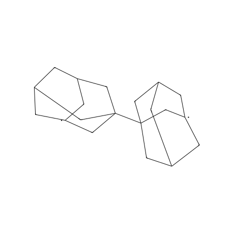 C1[C]2CC3CC1CC(C14C[C]5CC(CC(C5)C1)C4)(C2)C3